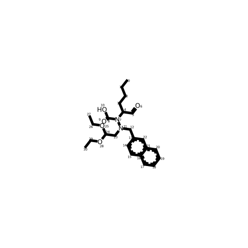 CCCCC(C=O)N(C(=O)O)N(Cc1ccc2ccccc2c1)CC(OCC)OCC